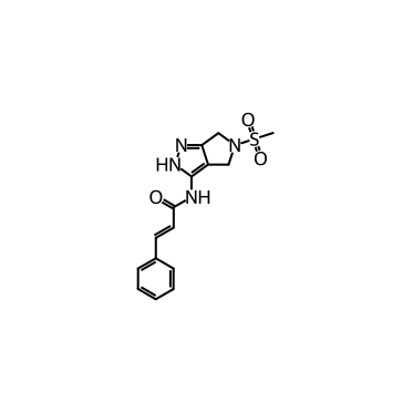 CS(=O)(=O)N1Cc2n[nH]c(NC(=O)/C=C/c3ccccc3)c2C1